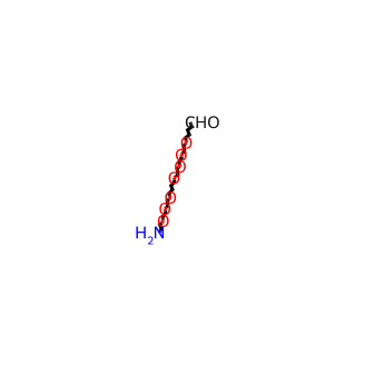 NCCOCCOCCOCCCCOCCOCCOCCOCCCCC=O